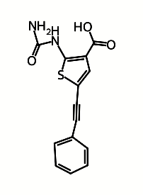 NC(=O)Nc1sc(C#Cc2ccccc2)cc1C(=O)O